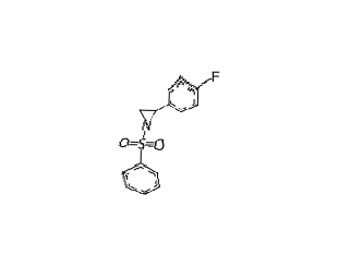 O=S(=O)(c1ccccc1)N1CC1c1ccc(F)cc1